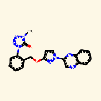 Cn1nnn(-c2ccccc2COc2ccn(-c3cnc4ccccc4n3)n2)c1=O